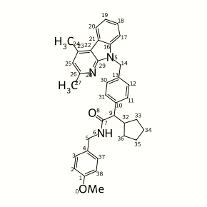 COc1ccc(CNC(=O)C(c2ccc(Cn3c4ccccc4c4c(C)cc(C)nc43)cc2)C2CCCC2)cc1